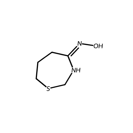 O/N=C1/CCCSCN1